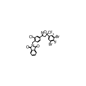 O=C1c2ccccc2C(=O)N1Cc1ccc(C2=NOC(c3cc(Br)c(F)c(Br)c3)(C(F)(F)F)C2)cc1Cl